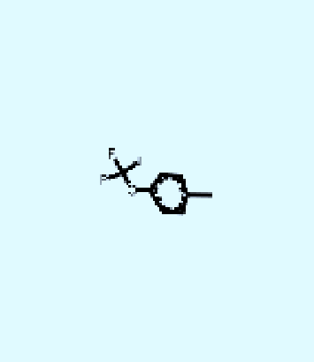 Cc1ccc(OC(F)(F)I)cc1